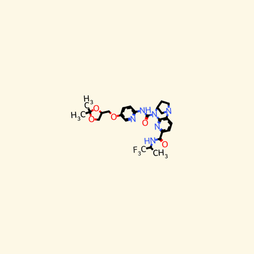 CC(NC(=O)c1ccc2c(n1)N(C(=O)Nc1ccc(OCC3COC(C)(C)O3)cn1)C1CCN2C1)C(F)(F)F